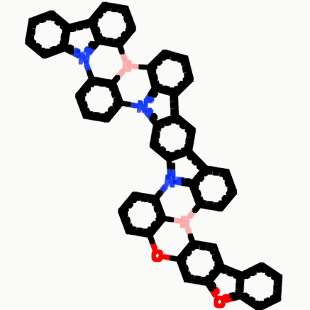 c1cc2c3c(c1)-n1c4cc5c(cc4c4cccc(c41)B3c1cc3c(cc1O2)oc1ccccc13)c1cccc2c1n5-c1cccc3c1B2c1cccc2c4ccccc4n-3c12